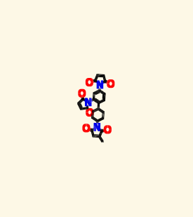 CC1=CC(=O)N(C2CCC(c3ccc(N4C(=O)C=CC4=O)cc3N3C(=O)C=CC3=O)CC2)C1=O